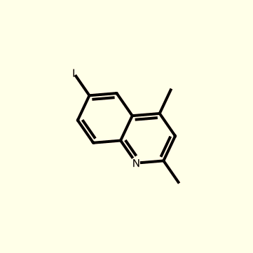 Cc1cc(C)c2cc(I)ccc2n1